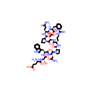 N=C(N)NCCC[C@H](NC(=O)[C@@H]1CCCN1C(=O)[C@H](CC(N)=O)NC(=O)[C@H](Cc1c[nH]c2ccccc12)NC(=O)[C@H](CO)NC(=O)[C@@H](N)CCC(=O)O)C(=O)N[C@@H](CC(=O)O)C(=O)N1CCC[C@H]1C(=O)N[C@@H](CCC(N)=O)C(=O)N[C@@H](Cc1ccccc1)C(=O)O